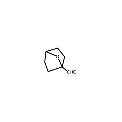 O=[C]C12CCC(CC1)O2